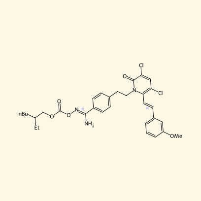 CCCCC(CC)COC(=O)O/N=C(\N)c1ccc(CCn2c(/C=C/c3cccc(OC)c3)c(Cl)cc(Cl)c2=O)cc1